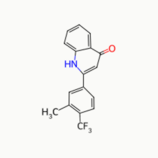 Cc1cc(-c2cc(=O)c3ccccc3[nH]2)ccc1C(F)(F)F